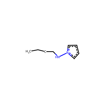 CCCCNn1[c]ccc1